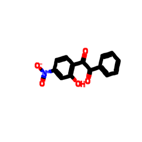 O=C(C(=O)c1ccc([N+](=O)[O-])cc1O)c1ccccc1